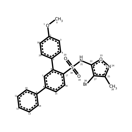 COc1ccc(-c2cc(-c3ccccc3)ccc2S(=O)(=O)Nc2onc(C)c2Br)cc1